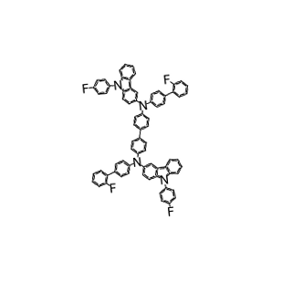 Fc1ccc(-n2c3ccccc3c3cc(N(c4ccc(-c5ccc(N(c6ccc(-c7ccccc7F)cc6)c6ccc7c(c6)c6ccccc6n7-c6ccc(F)cc6)cc5)cc4)c4ccc(-c5ccccc5F)cc4)ccc32)cc1